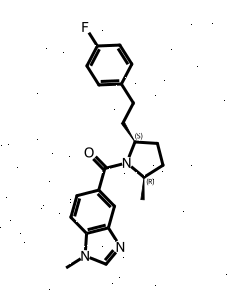 C[C@@H]1CC[C@H](CCc2ccc(F)cc2)N1C(=O)c1ccc2c(c1)ncn2C